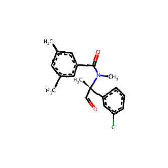 Cc1cc(C)cc(C(=O)N(C)[C@@](C)([C]=O)c2cccc(Cl)c2)c1